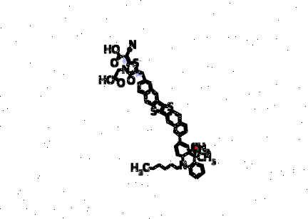 CCCCCCN1c2ccccc2C(C)(C)C2(C)C=C(c3ccc4cc5sc6c7cc8cc(/C=c9/s/c(=C(\C#N)C(=O)O)n(CC(=O)O)c9=O)ccc8cc7sc6c5cc4c3)C=CC12